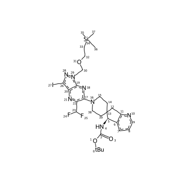 CC(C)(C)OC(=O)N[C@@H]1c2cccnc2CC12CCN(c1nc3c(nc1C(F)F)c(I)nn3COCC[Si](C)(C)C)CC2